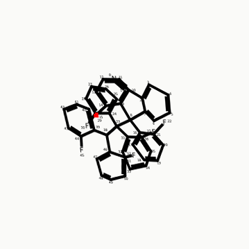 N#Cc1ccccc1C(c1ccccc1F)(c1ccccc1F)C(c1ccccc1F)(c1ccccc1F)C(c1ccccc1F)c1ccccc1F